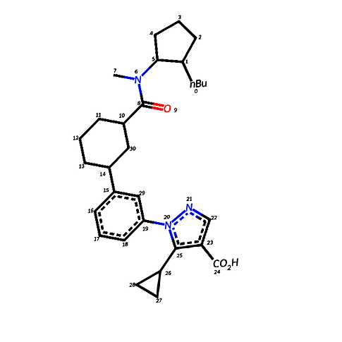 CCCCC1CCCC1N(C)C(=O)C1CCCC(c2cccc(-n3ncc(C(=O)O)c3C3CC3)c2)C1